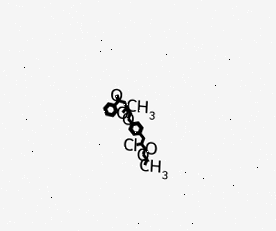 CCOC(=O)C(Cl)Cc1ccc(OCC2(C)CC(=O)c3ccccc3O2)cc1